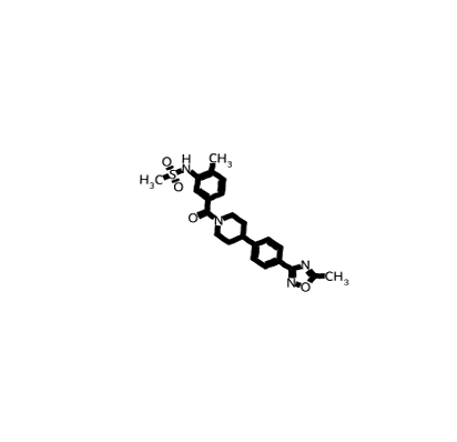 Cc1nc(-c2ccc(C3CCN(C(=O)c4ccc(C)c(NS(C)(=O)=O)c4)CC3)cc2)no1